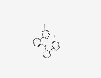 Ic1cccc(-c2ccccc2Oc2ccccc2-c2cccc(I)c2)c1